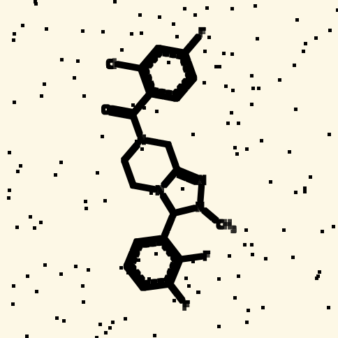 CN1N=C2CN(C(=O)c3ccc(F)cc3Cl)CCN2C1c1cccc(F)c1F